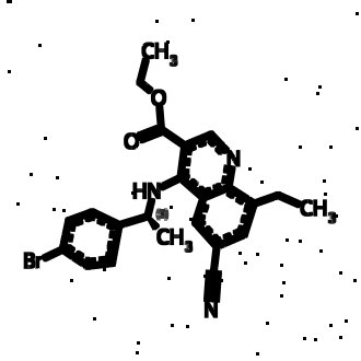 CCOC(=O)c1cnc2c(CC)cc(C#N)cc2c1N[C@@H](C)c1ccc(Br)cc1